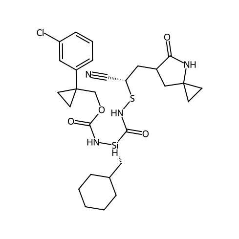 N#C[C@H](CC1CC2(CC2)NC1=O)SNC(=O)[Si@H](CC1CCCCC1)NC(=O)OCC1(c2cccc(Cl)c2)CC1